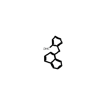 O=Cc1ccccc1Cc1cccc2ccccc12